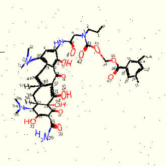 CCCN(CC(=O)Nc1cc(N(C)C)c2c(c1O)C(=O)C1=C(O)[C@]3(O)C(=O)C(C(N)=O)=C(O)[C@@H](N(C)C)[C@@H]3C[C@@H]1C2)C(=O)OCOC(=O)c1cc(C)cc(C)c1